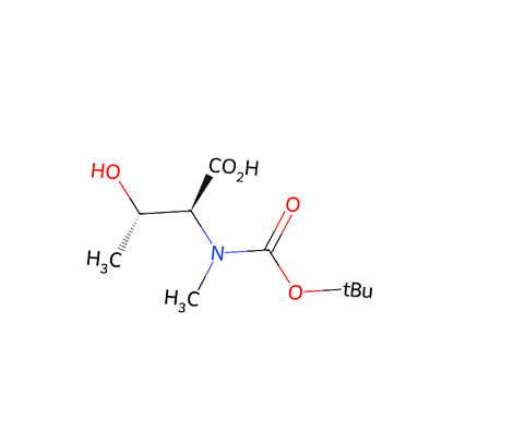 C[C@H](O)[C@@H](C(=O)O)N(C)C(=O)OC(C)(C)C